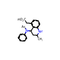 CC(=O)N(c1ccccc1)C1CC(C)Nc2cccc(CC(=O)O)c21